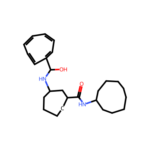 O=C(NC1CCCCCCCC1)C1CCCCC(NC(O)C2=C/C=C\C=C/C=C\2)C1